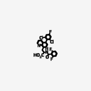 O=C(NC(Cc1ccc(-c2c(Cl)cc(F)cc2Cl)c2cccnc12)C(=O)O)c1c(F)cccc1F